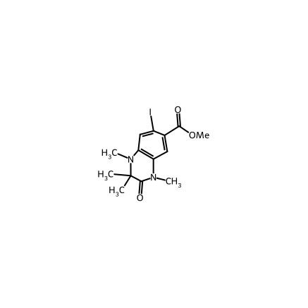 COC(=O)c1cc2c(cc1I)N(C)C(C)(C)C(=O)N2C